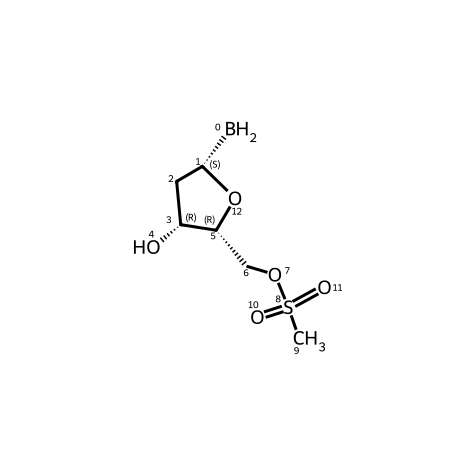 B[C@H]1C[C@@H](O)[C@@H](COS(C)(=O)=O)O1